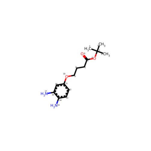 CC(C)(C)OC(=O)CCCOc1ccc(N)c(N)c1